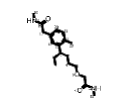 CCC(CCCOCC(=O)NC)c1cc(CC(=O)NC)ccc1C